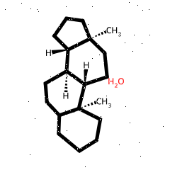 C[C@@]12CCC[C@H]1[C@@H]1CCC3CCCC[C@]3(C)[C@H]1CC2.O